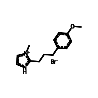 COc1ccc(CCCc2[nH]cc[n+]2C)cc1.[Br-]